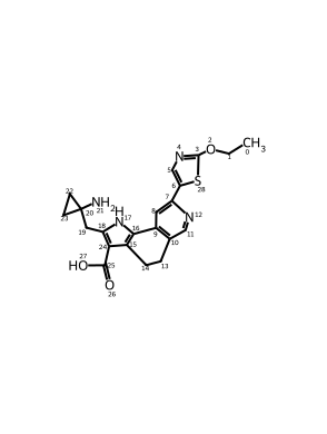 CCOc1ncc(-c2cc3c(cn2)CCc2c-3[nH]c(CC3(N)CC3)c2C(=O)O)s1